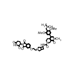 COc1cc(-c2cn(C)c(=O)c3c2CCN(C(=O)NC2CC4CN(CCOc5ccc6c(c5)C(=O)N(C5CCC(=O)NC5=O)C6=O)CC42)C3)cc(OC)c1CN(C)C